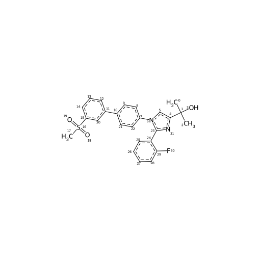 CC(C)(O)c1cn(-c2ccc(-c3cccc(S(C)(=O)=O)c3)cc2)c(-c2ccccc2F)n1